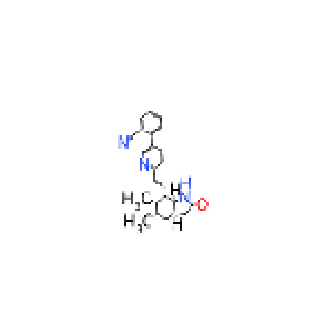 C[C@H]1[C@H](/C=C/c2ccc(-c3ccccc3C#N)cn2)[C@H]2NC(=O)C[C@H]2C[C@@H]1C